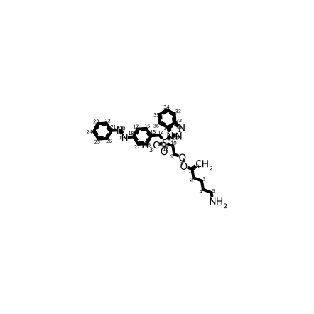 C=C(CCCCN)OOCCS(C)(=O)(Cc1ccc(N=Nc2ccccc2)cc1)n1nnc2ccccc21